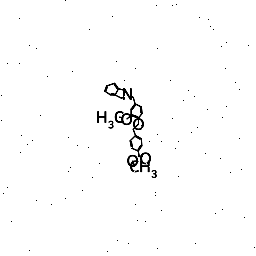 COC(=O)c1ccc(COc2ccc(CN3Cc4ccccc4C3)cc2OC)cc1